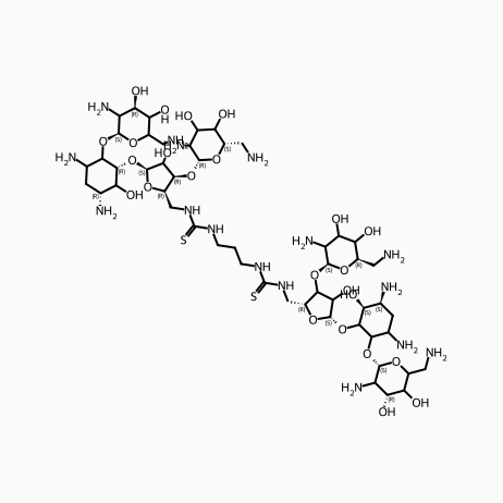 NCC1O[C@@H](OC2C(N)C[C@H](N)[C@H](O)C2O[C@@H]2O[C@H](CNC(=S)NCCCNC(=S)NC[C@H]3O[C@@H](O[C@H]4C(O[C@@H]5OC(CN)C(O)[C@H](O)C5N)C(N)C[C@@H](N)C4O)C(O)[C@H]3O[C@H]3O[C@@H](CN)C(O)C(O)C3N)C(O[C@@H]3O[C@H](CN)C(O)C(O)C3N)C2O)C(N)[C@@H](O)C1O